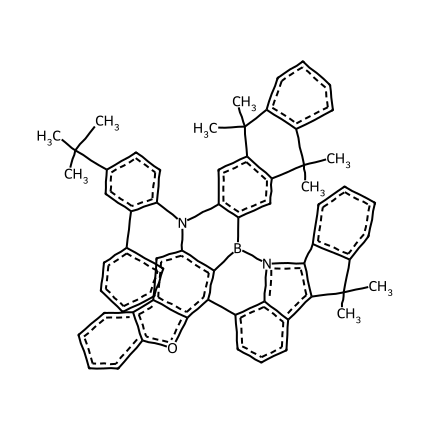 CC(C)(C)c1ccc(N2c3cc4c(cc3B3c5c2cc2c(oc6ccccc62)c5-c2cccc5c6c(n3c25)-c2ccccc2C6(C)C)C(C)(C)c2ccccc2C4(C)C)c(-c2ccccc2)c1